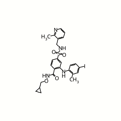 Cc1cc(I)ccc1Nc1cc(S(=O)(=O)NCc2cccnc2C)ccc1C(=O)NOCC1CC1